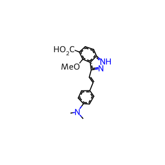 COc1c(C(=O)O)ccc2[nH]nc(/C=C/c3ccc(N(C)C)cc3)c12